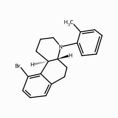 Cc1ccccc1N1CCC[C@@H]2c3c(Br)cccc3CC[C@H]21